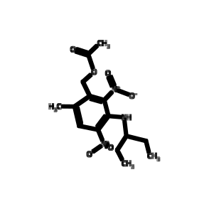 CCC(CC)Nc1c([N+](=O)[O-])cc(C)c(COC(C)=O)c1[N+](=O)[O-]